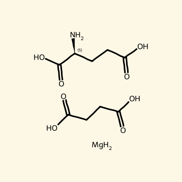 N[C@@H](CCC(=O)O)C(=O)O.O=C(O)CCC(=O)O.[MgH2]